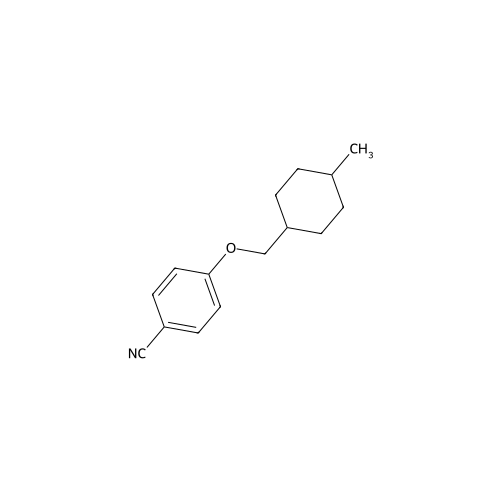 CC1CCC(COc2ccc(C#N)cc2)CC1